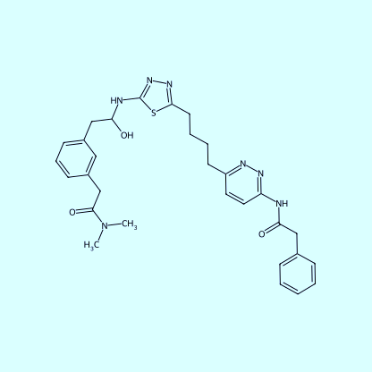 CN(C)C(=O)Cc1cccc(CC(O)Nc2nnc(CCCCc3ccc(NC(=O)Cc4ccccc4)nn3)s2)c1